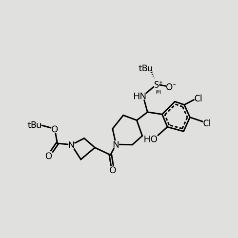 CC(C)(C)OC(=O)N1CC(C(=O)N2CCC(C(N[S@@+]([O-])C(C)(C)C)c3cc(Cl)c(Cl)cc3O)CC2)C1